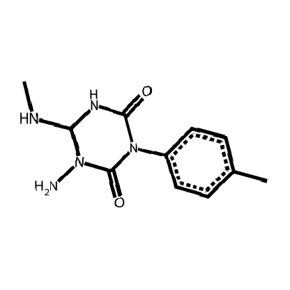 CNC1NC(=O)N(c2ccc(C)cc2)C(=O)N1N